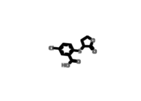 O=C(O)c1cc(Cl)ccc1SC1CCOC1=O